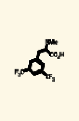 CNC(Cc1cc(C(F)(F)F)cc(C(F)(F)F)c1)C(=O)O